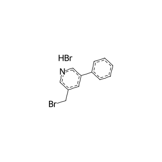 Br.BrCc1cncc(-c2ccccc2)c1